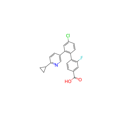 O=C(O)c1ccc(-c2ccc(Cl)cc2-c2ccc(C3CC3)nc2)c(F)c1